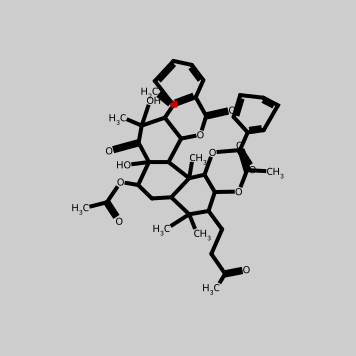 C=CC1C(OC(=O)c2ccccc2)C2C(O)(C(=O)C1(C)O)C(OC(C)=O)CC1C(C)(C)C(CCC(C)=O)C(OC(C)=O)C(OC(=O)c3ccccc3)C12C